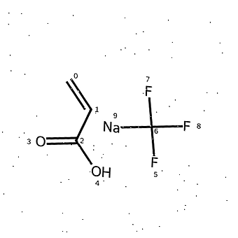 C=CC(=O)O.F[C](F)(F)[Na]